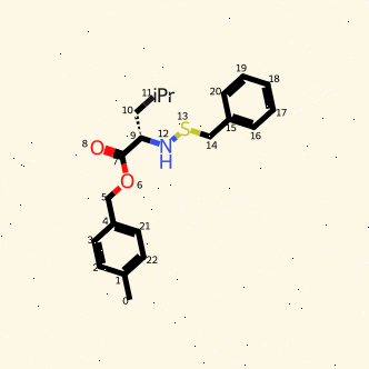 Cc1ccc(COC(=O)[C@H](CC(C)C)NSCc2ccccc2)cc1